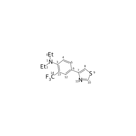 CCN(CC)c1ccc(-c2cs[c]n2)cc1C(F)(F)F